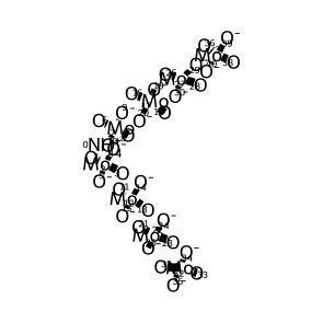 [NH4+].[O]=[Mo](=[O])([O-])[O-].[O]=[Mo](=[O])([O-])[O-].[O]=[Mo](=[O])([O-])[O-].[O]=[Mo](=[O])([O-])[O-].[O]=[Mo](=[O])([O-])[O-].[O]=[Mo](=[O])([O-])[O-].[O]=[Mo](=[O])([O-])[O-].[O]=[Mo](=[O])([O-])[O-]